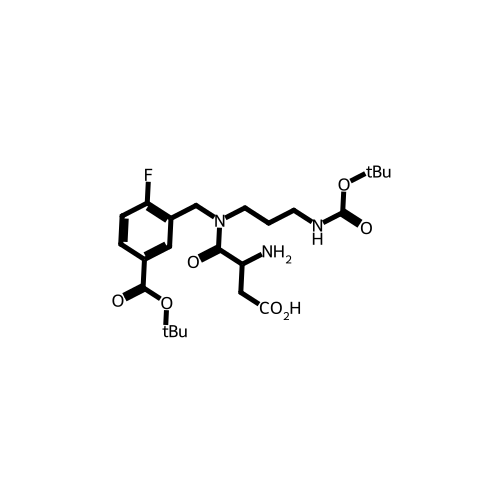 CC(C)(C)OC(=O)NCCCN(Cc1cc(C(=O)OC(C)(C)C)ccc1F)C(=O)C(N)CC(=O)O